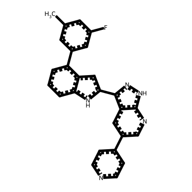 Cc1cc(F)cc(-c2cccc3[nH]c(-c4n[nH]c5ncc(-c6ccncc6)cc45)cc23)c1